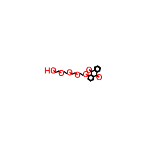 O=C1c2ccccc2C(=O)c2c(OCCOCCOCCOCCO)cccc21